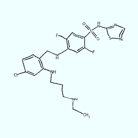 CCNCCCNc1cc(Cl)ccc1CNc1cc(F)c(S(=O)(=O)Nc2ncns2)cc1F